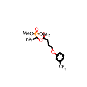 CCCC(OC(=O)CCCOc1cccc(C(F)(F)F)c1)P(=O)(OC)OC